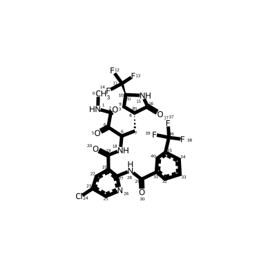 CNC(=O)C(=O)C(C[C@@H]1C[C@@H](C(F)(F)F)NC1=O)NC(=O)c1cc(Cl)cnc1NC(=O)c1cccc(C(F)(F)F)c1